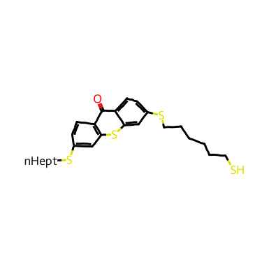 CCCCCCCSc1ccc2c(=O)c3ccc(SCCCCCCS)cc3sc2c1